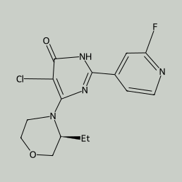 CC[C@H]1COCCN1c1nc(-c2ccnc(F)c2)[nH]c(=O)c1Cl